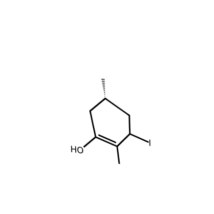 CC1=C(O)C[C@H](C)CC1I